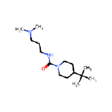 CN(C)CCCNC(=O)N1CCC(C(C)(C)C)CC1